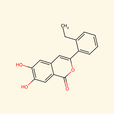 CCc1ccccc1-c1cc2cc(O)c(O)cc2c(=O)o1